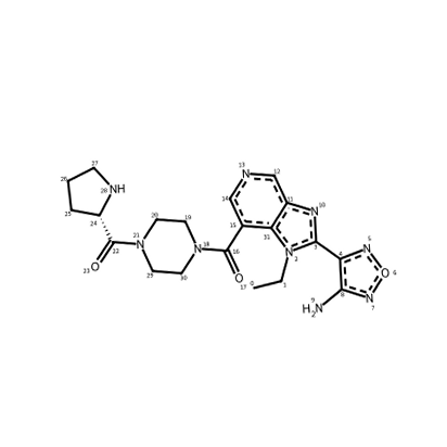 CCn1c(-c2nonc2N)nc2cncc(C(=O)N3CCN(C(=O)[C@@H]4CCCN4)CC3)c21